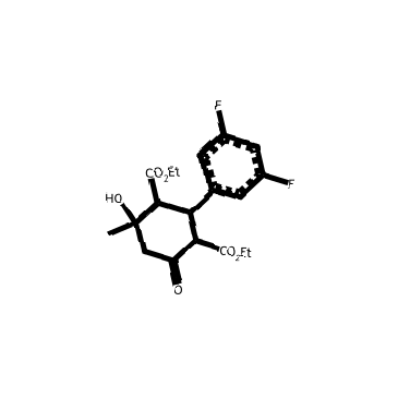 CCOC(=O)C1C(=O)CC(C)(O)C(C(=O)OCC)C1c1cc(F)cc(F)c1